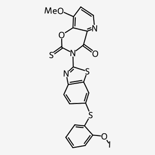 COc1ccnc2c(=O)n(-c3nc4ccc(Sc5ccccc5OI)cc4s3)c(=S)oc12